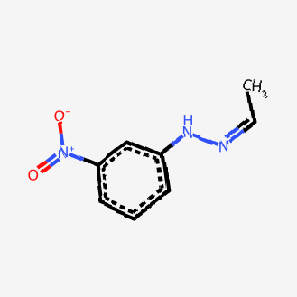 C/C=N\Nc1cccc([N+](=O)[O-])c1